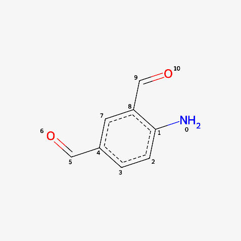 Nc1ccc(C=O)cc1C=O